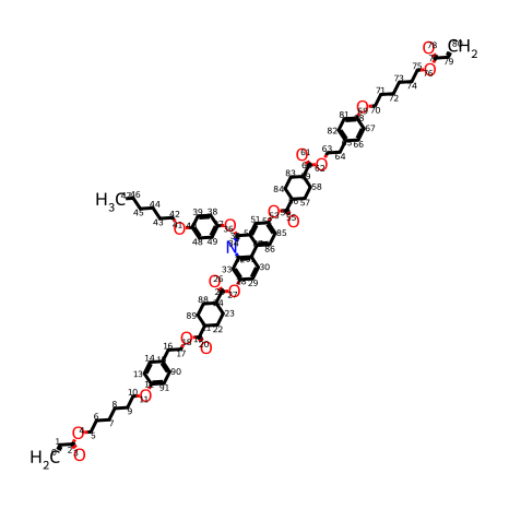 C=CC(=O)OCCCCCCOc1ccc(CCOC(=O)C2CCC(C(=O)Oc3ccc4c(c3)nc(Oc3ccc(OCCCCCC)cc3)c3cc(OC(=O)C5CCC(C(=O)OCCc6ccc(OCCCCCCOC(=O)C=C)cc6)CC5)ccc34)CC2)cc1